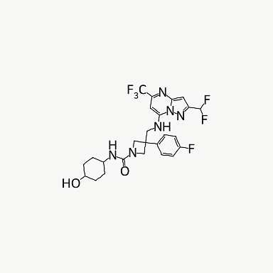 O=C(NC1CCC(O)CC1)N1CC(CNc2cc(C(F)(F)F)nc3cc(C(F)F)nn23)(c2ccc(F)cc2)C1